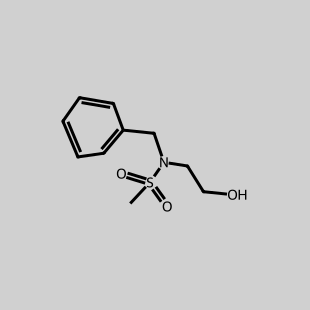 CS(=O)(=O)N(CCO)Cc1ccccc1